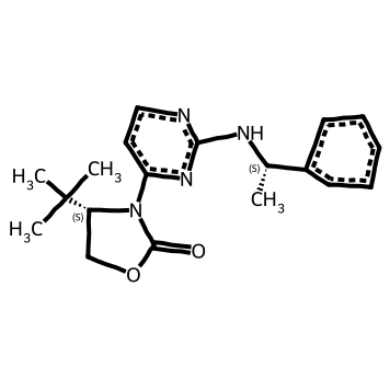 C[C@H](Nc1nccc(N2C(=O)OC[C@@H]2C(C)(C)C)n1)c1ccccc1